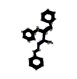 CC(=C\SSc1ccccc1)/C(=N/c1ccccc1)Oc1ccccc1